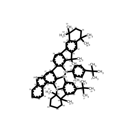 Cc1cc(C(C)(C)C)ccc1N1B2c3cc(C(C)(C)C)cc4c3N(c3c2c(cc2sc5ccccc5c32)-c2ccc3c(c21)C(C)(C)c1cc2c(cc1-3)C(C)(C)CCC2(C)C)C1(C)CCCCC41C